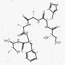 C[C@H](NC(=O)[C@H](C)NC(=O)[C@H](Cc1c[nH]cn1)NC(=O)[C@@H](N)CC(=O)O)C(=O)N[C@@H](Cc1ccccc1)C(=O)N[C@H](C(=O)O)[C@@H](C)O